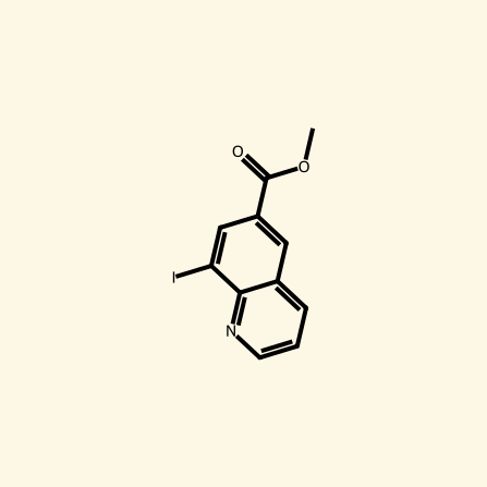 COC(=O)c1cc(I)c2ncccc2c1